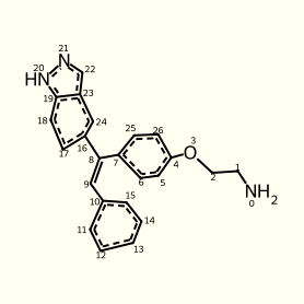 NCCOc1ccc(/C(=C\c2ccccc2)c2ccc3[nH]ncc3c2)cc1